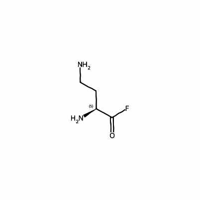 NCC[C@H](N)C(=O)F